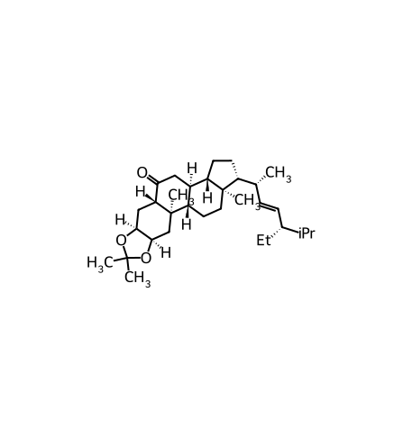 CC[C@H](/C=C/[C@@H](C)[C@H]1CC[C@H]2[C@@H]3CC(=O)[C@H]4C[C@@H]5OC(C)(C)O[C@@H]5C[C@]4(C)[C@H]3CC[C@]12C)C(C)C